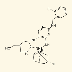 N#Cc1cnc(NCc2ccccc2Cl)nc1NC[C@]12CC3C[C@H](C1)[C@@H](NC1CCC(CO)CC1)[C@@H](C3)C2